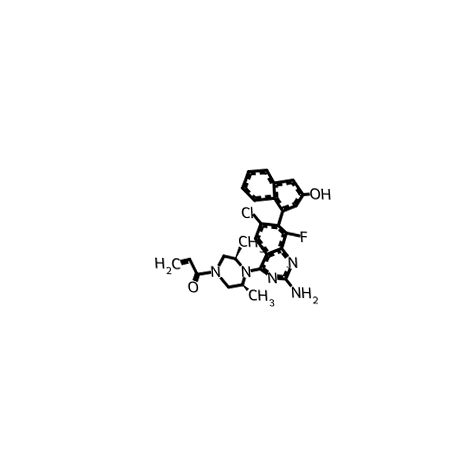 C=CC(=O)N1C[C@@H](C)N(c2nc(N)nc3c(F)c(-c4cc(O)cc5ccccc45)c(Cl)cc23)[C@@H](C)C1